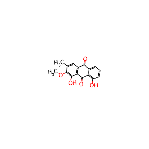 COc1c(C)cc2c(c1O)C(=O)c1c(O)cccc1C2=O